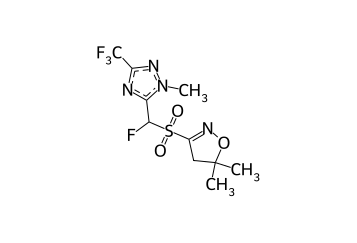 Cn1nc(C(F)(F)F)nc1C(F)S(=O)(=O)C1=NOC(C)(C)C1